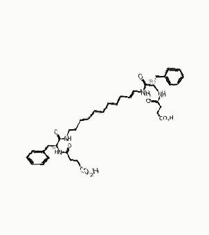 O=C(O)CCC(=O)N[C@@H](Cc1ccccc1)C(=O)NCCCCCCCCCCCNC(=O)[C@H](Cc1ccccc1)NC(=O)CCC(=O)O